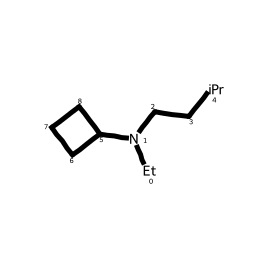 CCN(CCC(C)C)C1CCC1